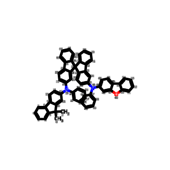 CC1(C)c2ccccc2-c2ccc(N(c3ccccc3)c3ccc4c(c3)C3(c5ccccc5-c5cc(N(c6ccccc6)c6ccc7c(c6)oc6ccccc67)ccc53)c3ccccc3-4)cc21